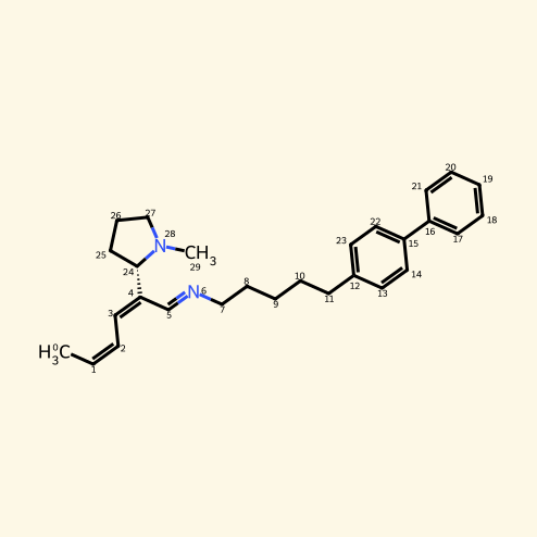 C\C=C/C=C(\C=N\CCCCCc1ccc(-c2ccccc2)cc1)[C@@H]1CCCN1C